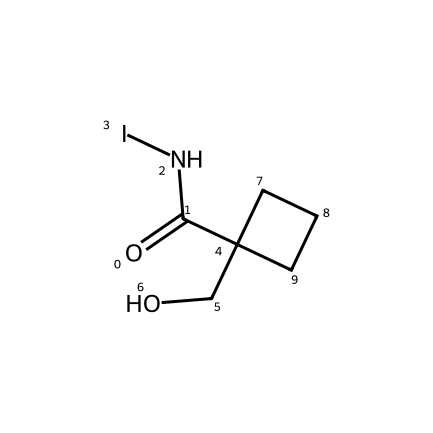 O=C(NI)C1(CO)CCC1